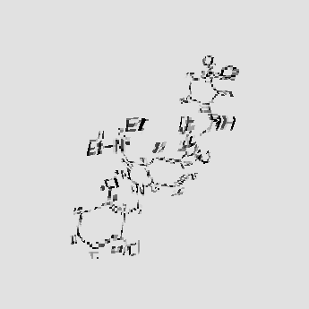 CCN(CC)c1nn(Cc2c(Cl)cccc2Cl)c2ccc(S(=O)(=O)NC3CCS(=O)(=O)C3)cc12